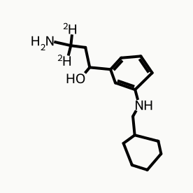 [2H]C([2H])(N)CC(O)c1cccc(NCC2CCCCC2)c1